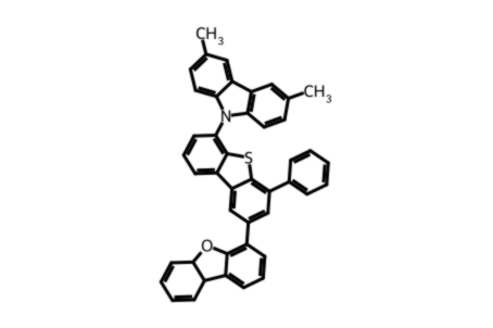 Cc1ccc2c(c1)c1cc(C)ccc1n2-c1cccc2c1sc1c(-c3ccccc3)cc(-c3cccc4c3OC3C=CC=CC43)cc12